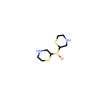 [O-][S+](C1CNCCS1)C1CNCCS1